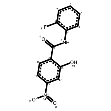 O=C(Nc1ccccc1F)c1ccc([N+](=O)[O-])cc1O